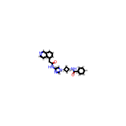 O=C(Cc1cccc2cnccc12)Nc1cn([C@H]2C[C@@H](NC(=O)c3ccccc3)C2)cn1